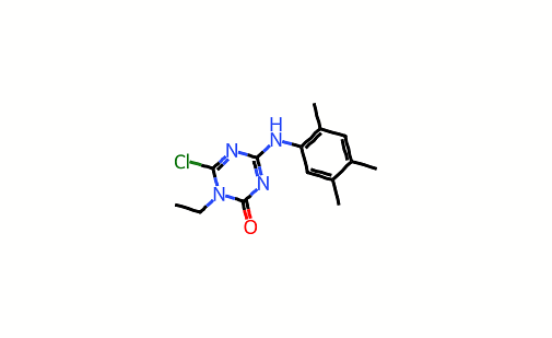 CCn1c(Cl)nc(Nc2cc(C)c(C)cc2C)nc1=O